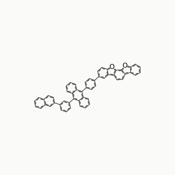 c1cc(-c2ccc3ccccc3c2)cc(-c2c3ccccc3c(-c3ccc(-c4ccc5oc6c(ccc7c8ccccc8oc76)c5c4)cc3)c3ccccc23)c1